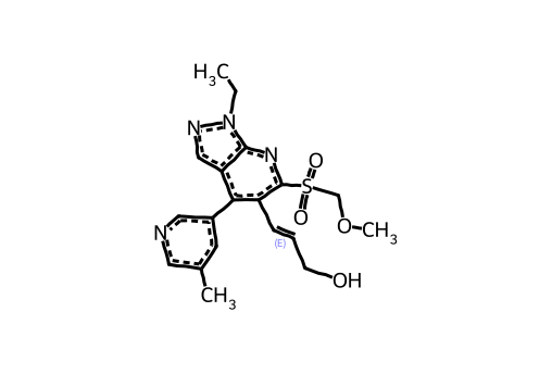 CCn1ncc2c(-c3cncc(C)c3)c(/C=C/CO)c(S(=O)(=O)COC)nc21